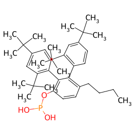 CCCCc1ccc(OP(O)O)c(-c2ccc(C(C)(C)C)cc2C(C)(C)C)c1-c1ccc(C(C)(C)C)cc1C(C)(C)C